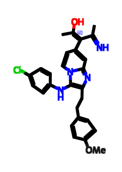 COc1ccc(CCc2nc3cc(/C(C(C)=N)=C(\C)O)ccn3c2Nc2ccc(Cl)cc2)cc1